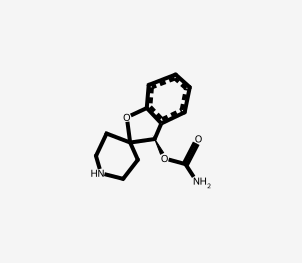 NC(=O)O[C@@H]1c2ccccc2OC12CCNCC2